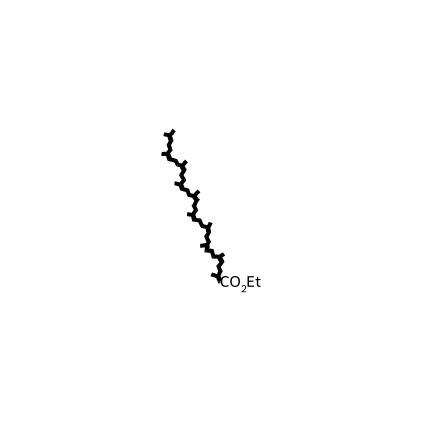 CCOC(=O)C=C(C)CCC=C(C)CCC=C(C)CCC=C(C)CCC=C(C)CCC=C(C)CCC=C(C)CCC=C(C)CCC=C(C)CCC=C(C)C